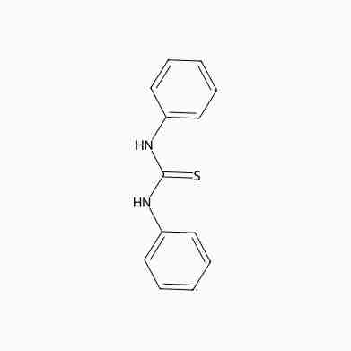 S=C(Nc1cc[c]cc1)Nc1ccccc1